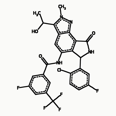 CC(O)c1c2cc(NC(=O)c3cc(F)cc(C(F)(F)F)c3)c3c(c2nn1C)C(=O)NC3c1cc(F)ccc1Cl